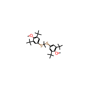 COc1c(C(C)(C)C)cc(SC(C)(C)Sc2cc(C(C)(C)C)c(OC)c(C(C)(C)C)c2)cc1C(C)(C)C